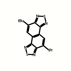 CC(C)c1cc2c(cc(C(C)(C)C)c3nsnc32)c2nsnc12